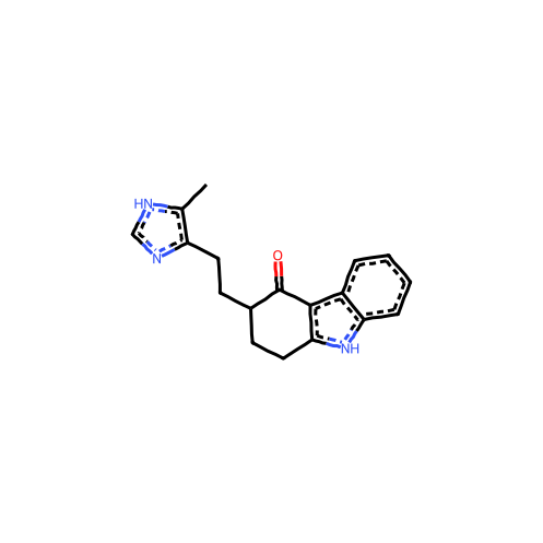 Cc1[nH]cnc1CCC1CCc2[nH]c3ccccc3c2C1=O